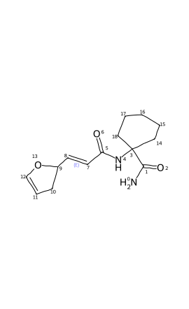 NC(=O)C1(NC(=O)/C=C/C2CC=CO2)CCCCC1